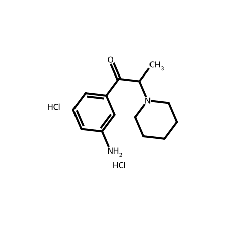 CC(C(=O)c1cccc(N)c1)N1CCCCC1.Cl.Cl